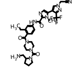 CCc1cc(NC(=O)c2ncc(-c3cn(CC#N)nc3C(F)(F)F)n2C)ccc1C(=O)N1CCN(C(=O)N2CCCC2CN)CC1